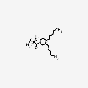 CCCCCC1CN(C(=O)C(C)(C)C)CCN1CCCCC